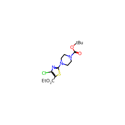 CCOC(=O)c1sc(N2CCN(C(=O)OC(C)(C)C)CC2)nc1Cl